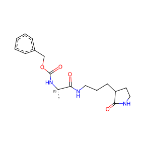 C[C@H](NC(=O)OCc1ccccc1)C(=O)NCCCC1CCNC1=O